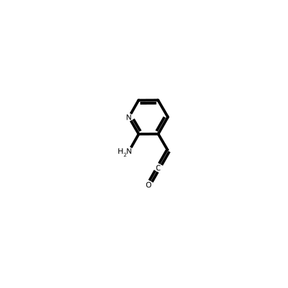 Nc1ncccc1C=C=O